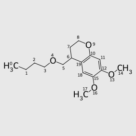 CCCCOCC1CCOc2cc(OC)c(OC)cc21